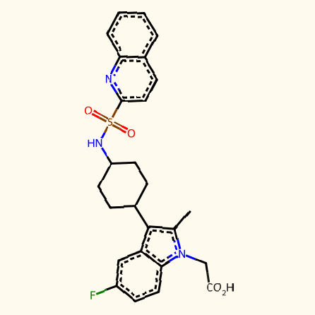 Cc1c(C2CCC(NS(=O)(=O)c3ccc4ccccc4n3)CC2)c2cc(F)ccc2n1CC(=O)O